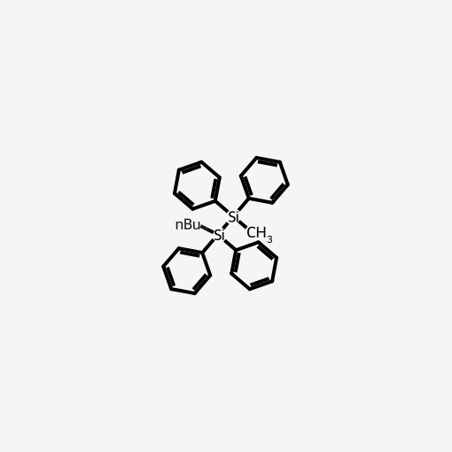 CCCC[Si](c1ccccc1)(c1ccccc1)[Si](C)(c1ccccc1)c1ccccc1